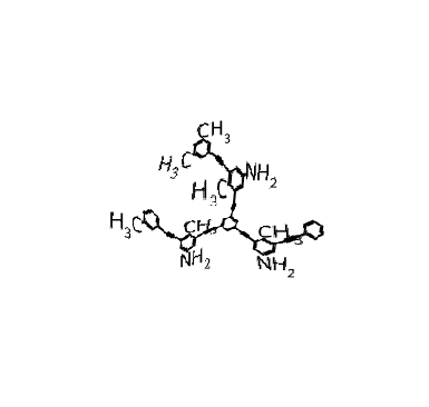 Cc1cccc(C#Cc2cc(N)cc(C#Cc3cc(C#Cc4cc(N)cc(C#Cc5ccccc5)c4C)cc(C#Cc4cc(N)cc(C#Cc5cc(C)cc(C)c5)c4C)c3)c2C)c1